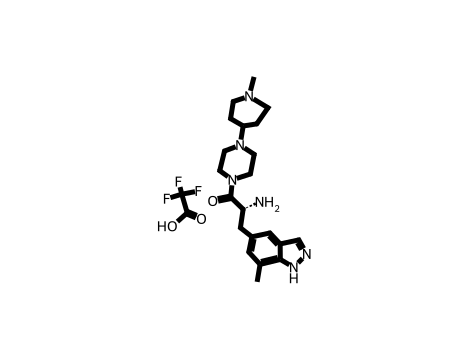 Cc1cc(C[C@@H](N)C(=O)N2CCN(C3CCN(C)CC3)CC2)cc2cn[nH]c12.O=C(O)C(F)(F)F